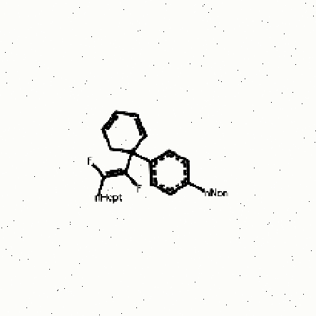 CCCCCCCCCc1ccc(C2(C(F)=C(F)CCCCCCC)C=CC=CC2)cc1